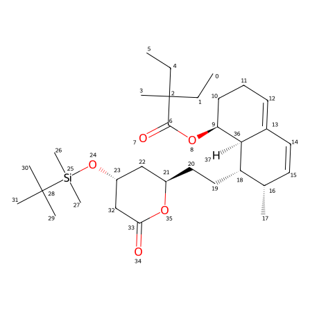 CCC(C)(CC)C(=O)O[C@H]1CCC=C2C=C[C@H](C)[C@H](CC[C@@H]3C[C@@H](O[Si](C)(C)C(C)(C)C)CC(=O)O3)[C@H]21